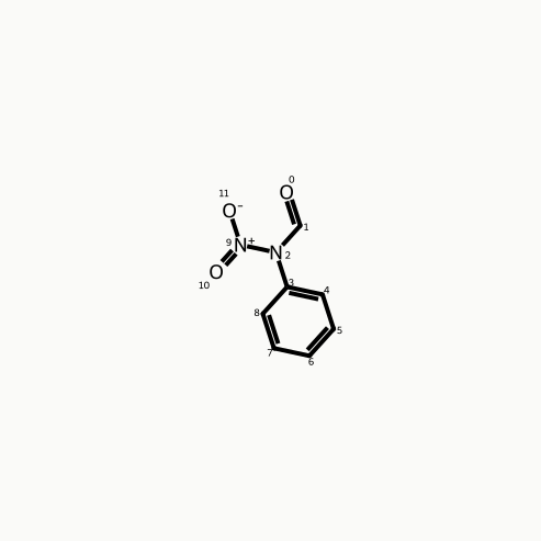 O=CN(c1ccccc1)[N+](=O)[O-]